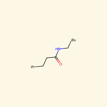 CCC(C)CNC(=O)CCC(C)C